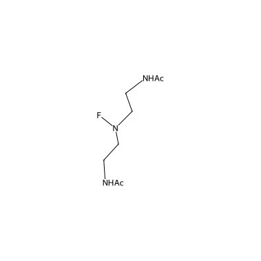 CC(=O)NCCN(F)CCNC(C)=O